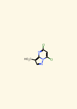 O=C(O)c1cnn2c(Cl)cc(Cl)nc12